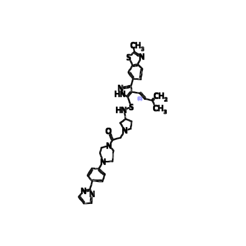 C=C(C)/C=C/c1c(-c2ccc3nc(C)sc3c2)n[nH]c1SNC1CCN(CC(=O)N2CCN(c3ccc(-c4ncccn4)cc3)CC2)C1